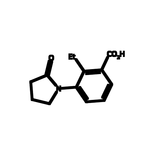 CCc1c(C(=O)O)cccc1N1CCCC1=O